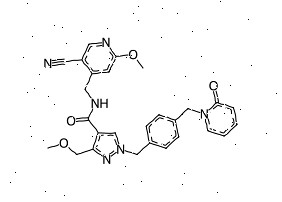 COCc1nn(Cc2ccc(Cn3ccccc3=O)cc2)cc1C(=O)NCc1cc(OC)ncc1C#N